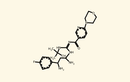 CC(C)(C)N/C(=N/C(=O)c1ccc(N2CCOCC2)nc1)NC(N)CC(N)c1ccc(F)cc1